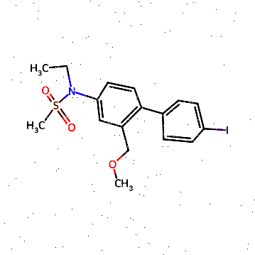 CCN(c1ccc(-c2ccc(I)cc2)c(COC)c1)S(C)(=O)=O